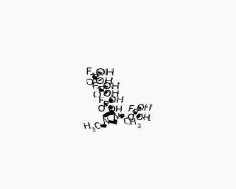 C=CN1C=CN(CC)C1.O=P(O)(O)F.O=P(O)(O)F.O=P(O)(O)F.O=P(O)(O)F